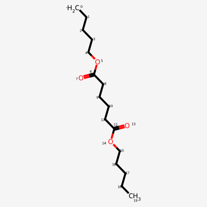 [CH2]CCCCOC(=O)CCCCC(=O)OCCCCC